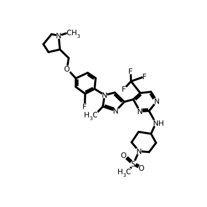 Cc1nc(-c2nc(NC3CCN(S(C)(=O)=O)CC3)ncc2C(F)(F)F)cn1-c1ccc(OCC2CCCN2C)cc1F